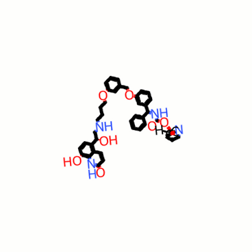 O=C(NC(c1ccccc1)c1cccc(OCc2cccc(OCCCCNC[C@H](O)c3ccc(O)c4[nH]c(=O)ccc34)c2)c1)O[C@H]1CN2CCC1CC2